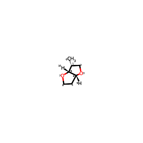 C[C@@H]1CO[C@@H]2CCO[C@H]12